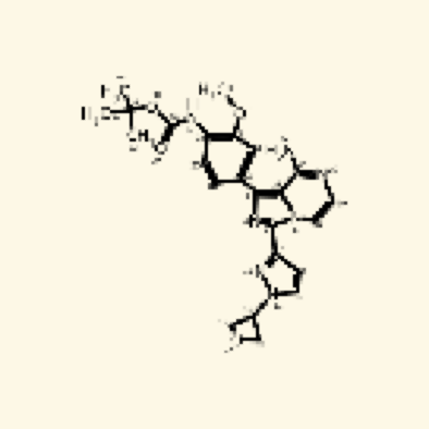 COc1cc(-c2nc(-c3ccn(C4COC4)n3)n3ccnc(N)c23)ccc1NC(=O)OC(C)(C)C